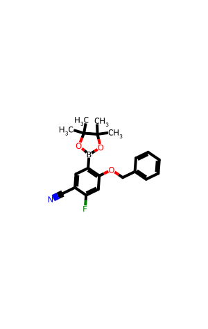 CC1(C)OB(c2cc(C#N)c(F)cc2OCc2ccccc2)OC1(C)C